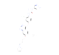 COc1cc2c(Oc3ccc(NC(=O)Nc4cnn(C)c4)c(Cl)c3)ncnc2cc1OCCCN1CCCC1